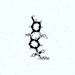 CNS(=O)(=O)c1ccc(Nc2cccc(C)c2)c([N+](=O)[O-])c1